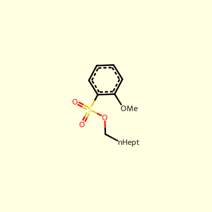 CCCCCCCCOS(=O)(=O)c1ccccc1OC